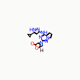 O=C1O[C@H]2CC1N(c1nc(Nc3cc(C4CC4)[nH]n3)c3cccn3n1)C2